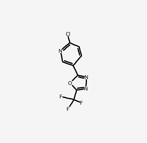 FC(F)(F)c1nnc(-c2ccc(Cl)nc2)o1